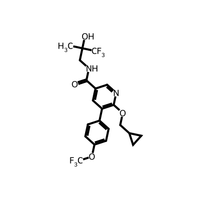 CC(O)(CNC(=O)c1cnc(OCC2CC2)c(-c2ccc(OC(F)(F)F)cc2)c1)C(F)(F)F